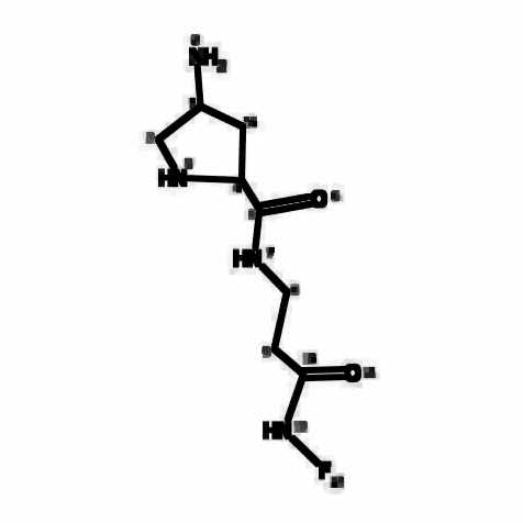 NC1CNC(C(=O)NCCC(=O)NF)C1